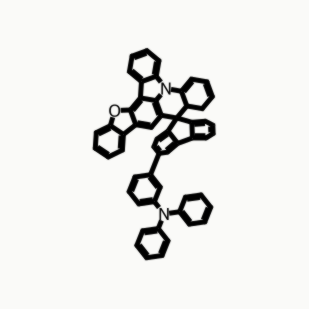 C1=CCC2C(=C1)n1c3ccccc3c3c4oc5ccccc5c4cc(c31)C21c2ccccc2-c2cc(-c3cccc(N(c4ccccc4)c4ccccc4)c3)ccc21